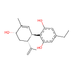 C=C(C)[C@@H]1C[C@H](O)C(C)=C[C@H]1c1c(O)cc(CC)cc1O